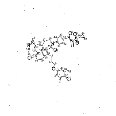 Cc1cc(OCCCc2c3n(c4c(-c5c(C)nn(C)c5C)c(Cl)ccc24)CCCN(c2ccc(C(=O)NS(=O)(=O)C4CC4)cc2)C3=O)cc(C)c1Cl